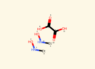 CCNO.CCNO.O=C(O)C(=O)O